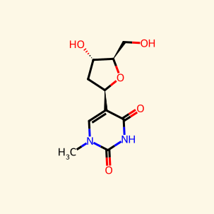 Cn1cc([C@H]2C[C@H](O)[C@@H](CO)O2)c(=O)[nH]c1=O